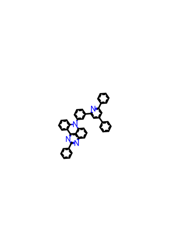 c1ccc(-c2cc(-c3ccccc3)nc(-c3cccc(N4c5ccccc5-c5nc(-c6ccccc6)nc6cccc4c56)c3)c2)cc1